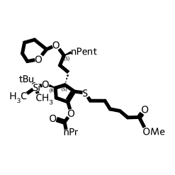 CCCCC[C@@H](CC[C@@H]1C(SCCCCCC(=O)OC)=C(OC(=O)CCC)C[C@H]1O[Si](C)(C)C(C)(C)C)OC1CCCCO1